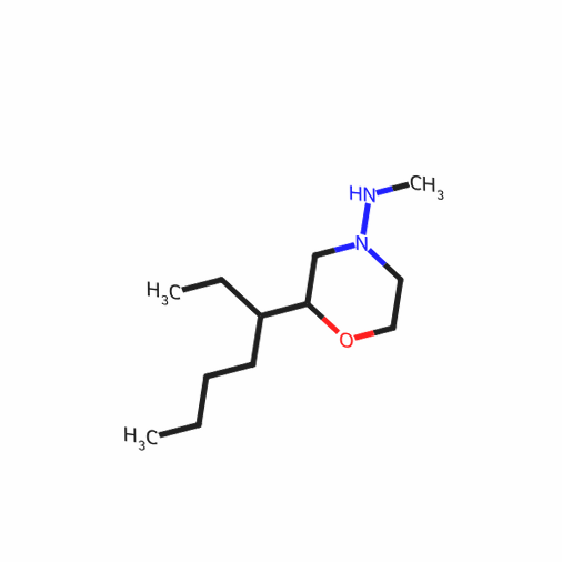 CCCCC(CC)C1CN(NC)CCO1